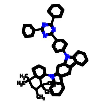 CC1CC(C)(C)c2cccc(-n3c4ccccc4c4cc5c6ccccc6n(-c6ccc(-c7nc(-c8ccccc8)nc(-c8ccccc8)n7)cc6)c5cc43)c2C1(C)C